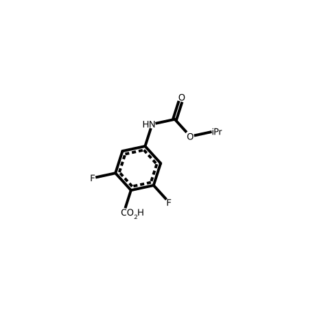 CC(C)OC(=O)Nc1cc(F)c(C(=O)O)c(F)c1